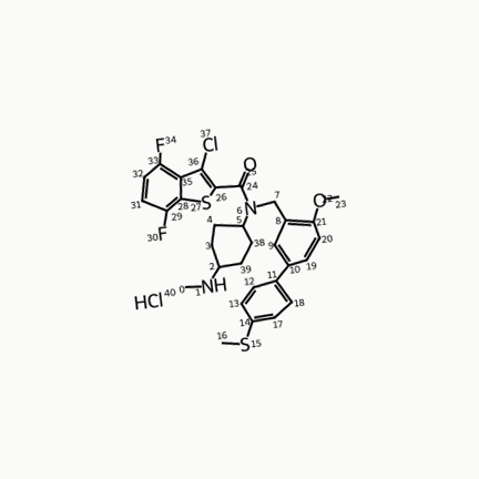 CNC1CCC(N(Cc2cc(-c3ccc(SC)cc3)ccc2OC)C(=O)c2sc3c(F)ccc(F)c3c2Cl)CC1.Cl